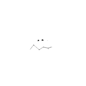 CCCCCCl.O=S=O